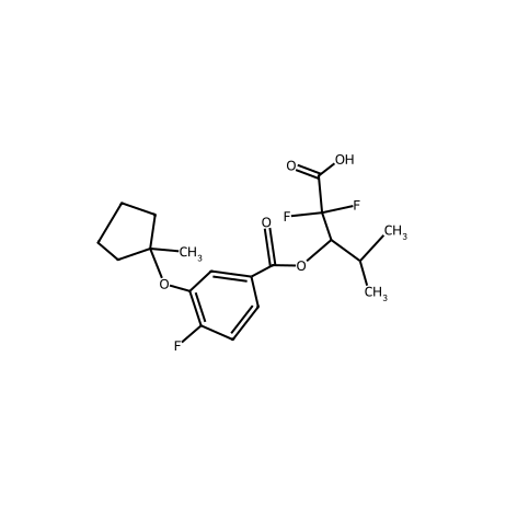 CC(C)C(OC(=O)c1ccc(F)c(OC2(C)CCCC2)c1)C(F)(F)C(=O)O